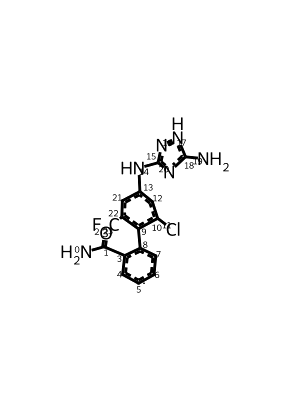 NC(=O)c1c[c]ccc1-c1c(Cl)cc(Nc2n[nH]c(N)n2)cc1C(F)(F)F